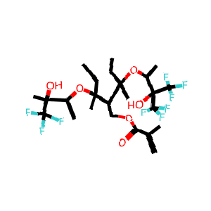 C=C(C)C(=O)OCC(C(C)(CC)OC(C)C(C)(O)C(F)(F)F)C(C)(CC)OC(C)C(O)(C(F)(F)F)C(F)(F)F